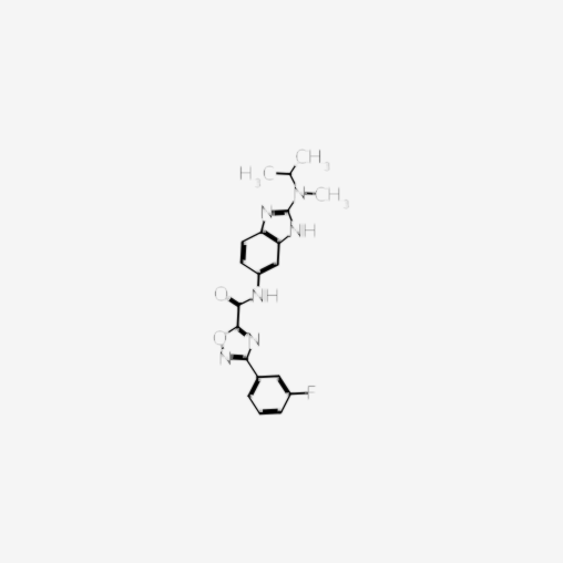 CC(C)N(C)c1nc2ccc(NC(=O)c3nc(-c4cccc(F)c4)no3)cc2[nH]1